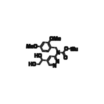 COc1ccc(CN(C(=O)OC(C)(C)C)c2cc(C(O)CO)cnn2)c(OC)c1